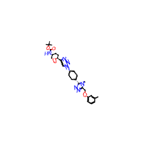 Cc1cccc(OCc2nnc([C@H]3CC[C@H](n4cc([C@@H]5CC[C@@H](NC(=O)OC(C)(C)C)CO5)nn4)CC3)n2C)c1